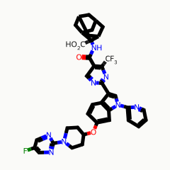 O=C(NC1(C(=O)O)C2CC3CC(C2)CC1C3)c1cnc(-c2cn(-c3ccccn3)c3cc(OC4CCN(c5ncc(F)cn5)CC4)ccc23)nc1C(F)(F)F